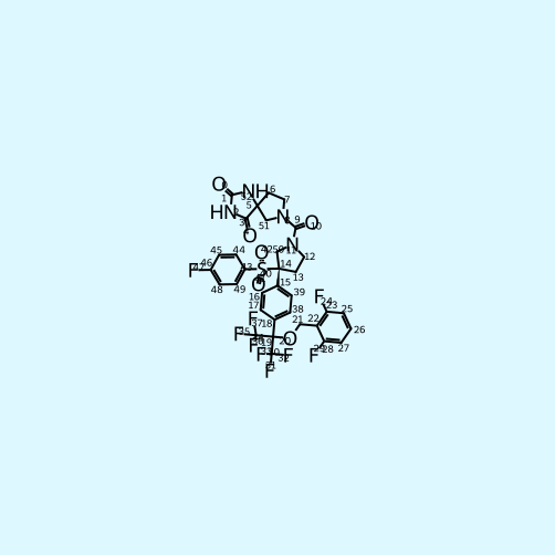 O=C1NC(=O)C2(CCN(C(=O)N3CC[C@](c4ccc(C(OCc5c(F)cccc5F)(C(F)(F)F)C(F)(F)F)cc4)(S(=O)(=O)c4ccc(F)cc4)C3)C2)N1